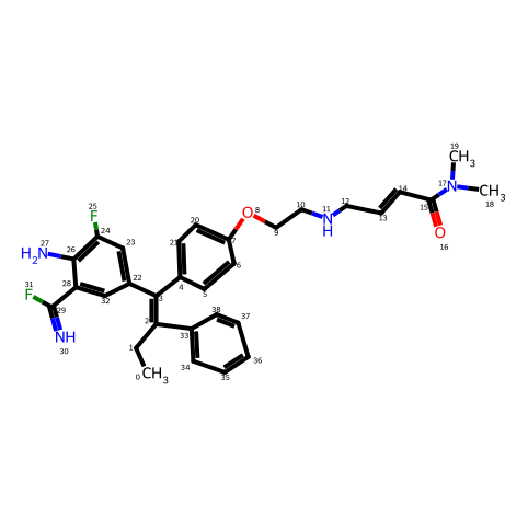 CC/C(=C(/c1ccc(OCCNC/C=C/C(=O)N(C)C)cc1)c1cc(F)c(N)c(C(=N)F)c1)c1ccccc1